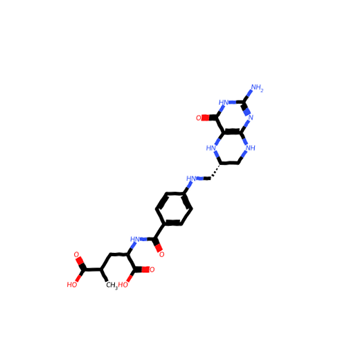 CC(CC(NC(=O)c1ccc(NC[C@H]2CNc3nc(N)[nH]c(=O)c3N2)cc1)C(=O)O)C(=O)O